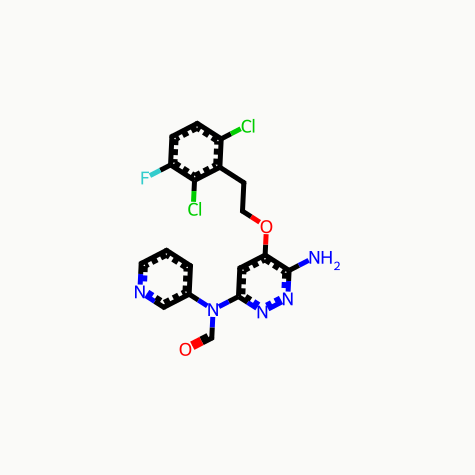 Nc1nnc(N(C=O)c2cccnc2)cc1OCCc1c(Cl)ccc(F)c1Cl